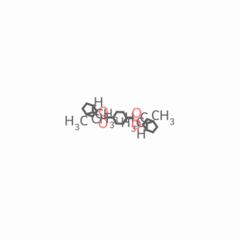 CC1(C)[C@@H]2CC[C@@]1(C)C[C@H]2OC(=O)C1CCC(C(=O)O[C@@H]2C[C@]3(C)CC[C@H]2C3(C)C)CC1